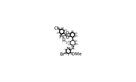 COc1cc(Br)cnc1CN1CCC(c2cccc3c2OC(C)(c2ccc(Cl)cc2F)O3)CC1